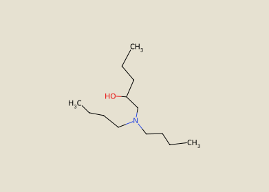 CCCCN(CCCC)CC(O)CCC